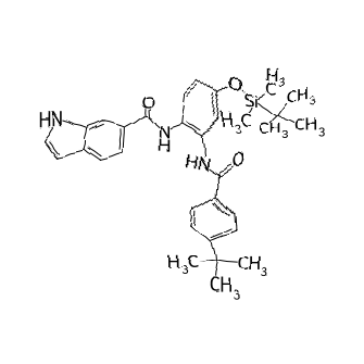 CC(C)(C)c1ccc(C(=O)Nc2cc(O[Si](C)(C)C(C)(C)C)ccc2NC(=O)c2ccc3cc[nH]c3c2)cc1